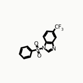 O=S(=O)(c1ccccc1)n1cnc2cc(C(F)(F)F)ccc21